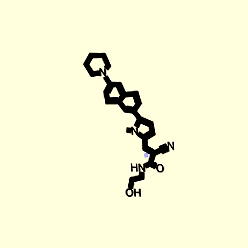 Cn1c(/C=C(\C#N)C(=O)NCCO)ccc1-c1ccc2cc(N3CCCCC3)ccc2c1